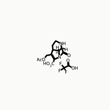 CC(=O)OCC1=C(C(=O)O)N2C(=O)[C@H]3NCCC1[C@H]32.O=C(O)C(F)(F)F